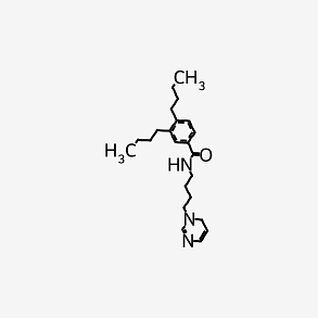 CCCCc1ccc(C(=O)NCCCCN2C=NC=CC2)cc1CCCC